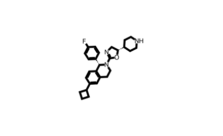 Fc1ccc([C@H]2c3ccc(C4CCC4)cc3CCN2C2=NC[C@H](C3CCNCC3)O2)cc1